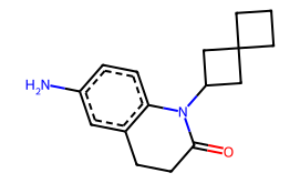 Nc1ccc2c(c1)CCC(=O)N2C1CC2(CCC2)C1